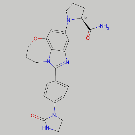 NC(=O)[C@@H]1CCCN1c1cc2c3c(c1)nc(-c1ccc(N4CCNC4=O)cc1)n3CCCO2